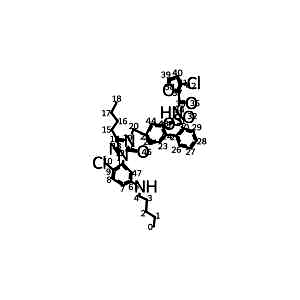 CCCCCNc1ccc(Cl)c(-n2nc(CCCC)n(Cc3ccc(-c4ccccc4S(=O)(=O)NC(=O)c4occc4Cl)cc3)c2=O)c1